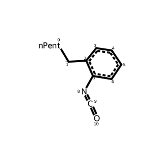 CCCCC[CH]c1ccccc1N=C=O